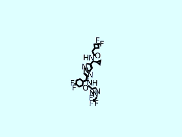 O=C(CC1CC(F)(F)C1)NC(c1cnn2cc([C@@H](NC(=O)c3cnn(CC(F)(F)F)n3)C3CCC(F)(F)CC3)nc2c1)C1CC1